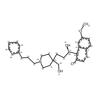 COc1ccc2ncc(Cl)c([C@H](O)CCC3(CO)CCN(CCCc4ccccn4)CC3)c2c1